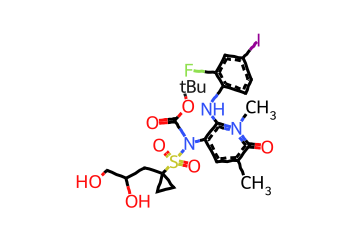 Cc1cc(N(C(=O)OC(C)(C)C)S(=O)(=O)C2(CC(O)CO)CC2)c(Nc2ccc(I)cc2F)n(C)c1=O